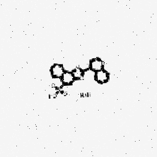 O=S(=O)(O)c1cc2oc(-c3ccnc4ccccc34)nc2c2ccccc12.[NaH]